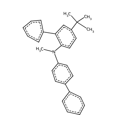 CN(c1ccc(-c2ccccc2)cc1)c1ccc(C(C)(C)C)cc1-c1ccccc1